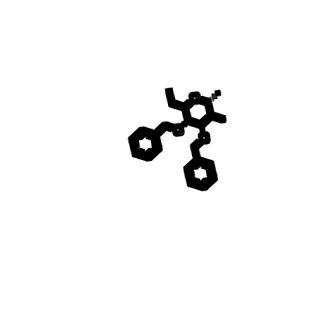 CCC1O[C@H](C)C(C)[C@H](OCc2ccccc2)[C@@H]1OCc1ccccc1